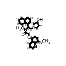 CNc1ccc(OCC(=O)N(C)C(CN2CC[C@H](O)C2)c2cccc3ccccc23)c2cccnc12